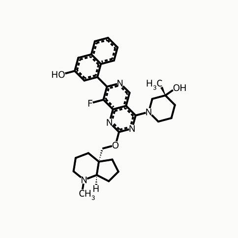 CN1CCC[C@@]2(COc3nc(N4CCC[C@@](C)(O)C4)c4cnc(-c5cc(O)cc6ccccc56)c(F)c4n3)CCC[C@@H]12